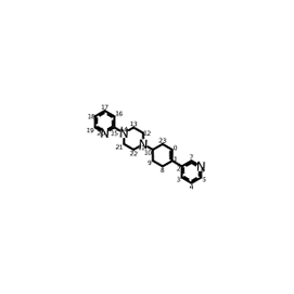 C1=C(c2cccnc2)CCC(N2CCN(c3ccccn3)CC2)C1